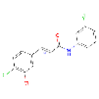 O=C(/C=C/c1ccc(Cl)c(O)c1)Nc1cccc(Cl)c1